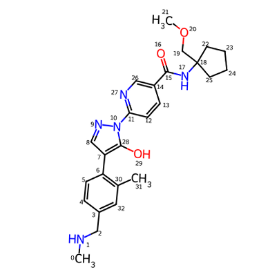 CNCc1ccc(-c2cnn(-c3ccc(C(=O)NC4(COC)CCCC4)cn3)c2O)c(C)c1